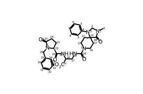 CN1CN(c2ccccc2)C2(CCN(C(=O)NCC(NC(=O)[C@@H]3CCC(=O)N3Cc3ccccc3)C(=O)O)CC2)C1=O